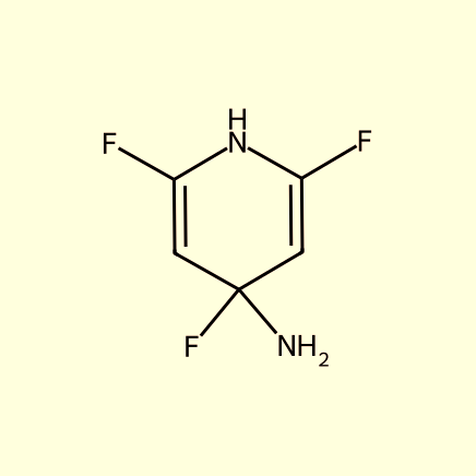 NC1(F)C=C(F)NC(F)=C1